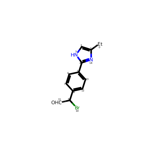 CCc1c[nH]c(-c2ccc(C(Br)C=O)cc2)n1